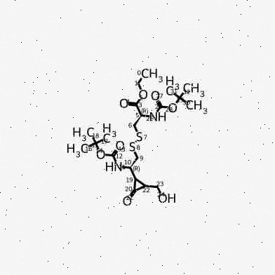 CCOC(=O)[C@H](CSSC[C@H](NC(=O)OC(C)(C)C)C1C(=O)C1CO)NC(=O)OC(C)(C)C